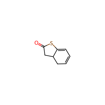 O=C1CC2CC=CC=C2S1